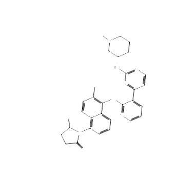 CCC1CCC(=O)N1c1cccc2c(Oc3ncccc3-c3ccnc(N[C@H]4CCCN(C(=O)O)C4)n3)c(C)ccc12